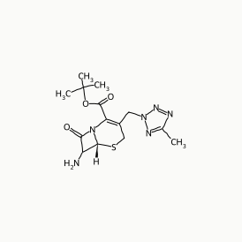 Cc1nnn(CC2=C(C(=O)OC(C)(C)C)N3C(=O)C(N)[C@H]3SC2)n1